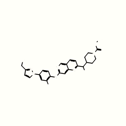 CC(c1ccc2cnc(Nc3ccc(-n4ccc(CO)n4)cc3F)cc2n1)C1CCN(C(=O)OC(C)(C)C)CC1